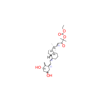 C=C1/C(=C\C=C2/CCC[C@]3(C)[C@@H]([C@H](C)/C=C/C(=O)C(C)(C)OC(=O)OCC)CC[C@@H]23)C[C@@H](O)C[C@@H]1O